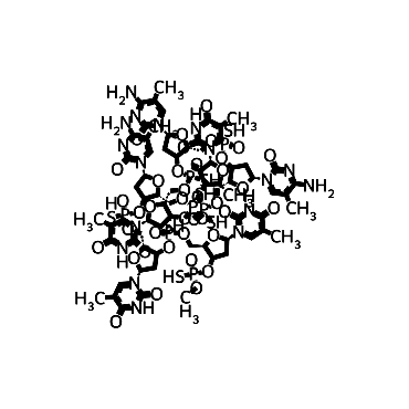 COP(=O)(S)OC1C[C@H](n2cc(C)c(=O)[nH]c2=O)O[C@@H]1COP(=O)(S)OC1C[C@H](n2cc(C)c(=O)[nH]c2=O)O[C@@H]1COP(=O)(S)OC1C[C@H](n2cc(C)c(N)nc2=O)O[C@@H]1COP(=O)(S)OC1C[C@H](n2cc(C)c(=O)[nH]c2=O)O[C@@H]1COP(=O)(S)OC1C[C@H](n2cc(C)c(N)nc2=O)O[C@@H]1COP(=O)(S)OC1C[C@H](n2cc(C)c(N)nc2=O)O[C@@H]1COP(=O)(S)OC1C[C@H](n2cc(C)c(=O)[nH]c2=O)O[C@@H]1C